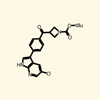 CC(C)(C)OC(=O)N1CC(C(=O)c2ccc(-c3c[nH]c4ncc(Cl)cc34)cc2)C1